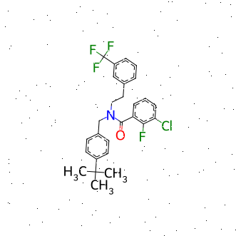 CC(C)(C)c1ccc(CN(CCc2cccc(C(F)(F)F)c2)C(=O)c2cccc(Cl)c2F)cc1